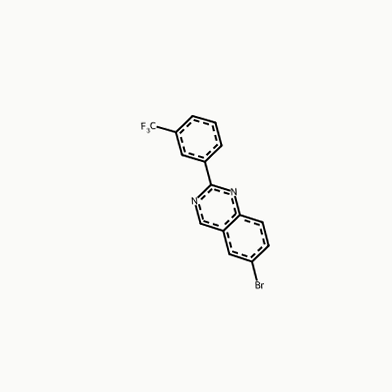 FC(F)(F)c1cccc(-c2ncc3cc(Br)ccc3n2)c1